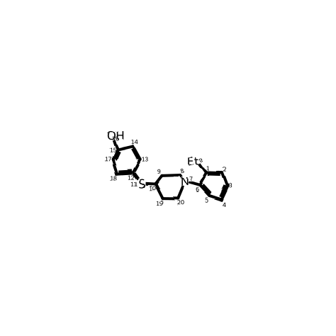 CCc1ccccc1N1CCC(Sc2ccc(O)cc2)CC1